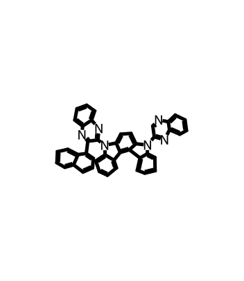 c1ccc2c(-c3nc4ccccc4nc3-n3c4ccccc4c4c5c6ccccc6n(-c6cnc7ccccc7n6)c5ccc43)cccc2c1